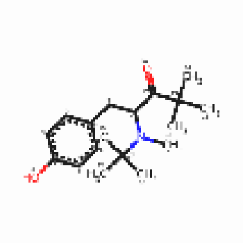 CN(C(Cc1ccc(O)cc1)C(=O)C(C)(C)C)C(C)(C)C